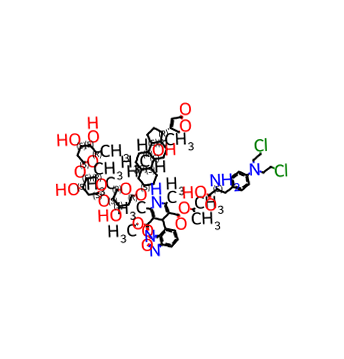 COC(=O)C1=C(C)NC(C)=C(C(=O)OC(C)C)C1c1cccc2nonc12.C[C@H]1O[C@@H](O[C@H]2[C@@H](O)C[C@H](O[C@H]3[C@@H](O)C[C@H](O[C@H]4CC[C@@]5(C)[C@H](CC[C@@H]6[C@@H]5CC[C@]5(C)[C@@H](C7=CC(=O)OC7)CC[C@]65O)C4)O[C@@H]3C)O[C@@H]2C)C[C@H](O)[C@@H]1O.N[C@@H](Cc1ccc(N(CCCl)CCCl)cc1)C(=O)O